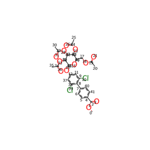 COC(=O)c1ccc(-c2c(Cl)cc(O[C@@H]3O[C@H](COC(C)=O)[C@@H](OC(C)=O)[C@H](OC(C)=O)[C@@H]3OC(C)=O)cc2Cl)cc1